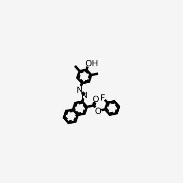 Cc1cc(/N=N/c2cc3ccccc3cc2C(=O)Oc2ccccc2F)cc(C)c1O